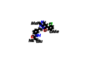 CNc1ncc2cc(-c3cc(OC)ccc3Cl)c(=O)n(CCc3cccc(NC(=O)C(C#N)=CC(C)(C)C)c3)c2n1